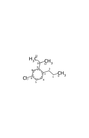 CCCc1ccc(Cl)cc1[C](C)C